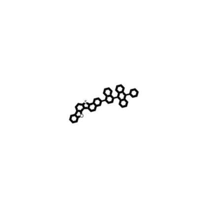 c1ccc(-c2c3ccccc3c(-c3ccc(-c4ccc5c(ccc6c5sc5ccc7c8ccccc8oc7c56)c4)c4ccccc34)c3ccccc23)cc1